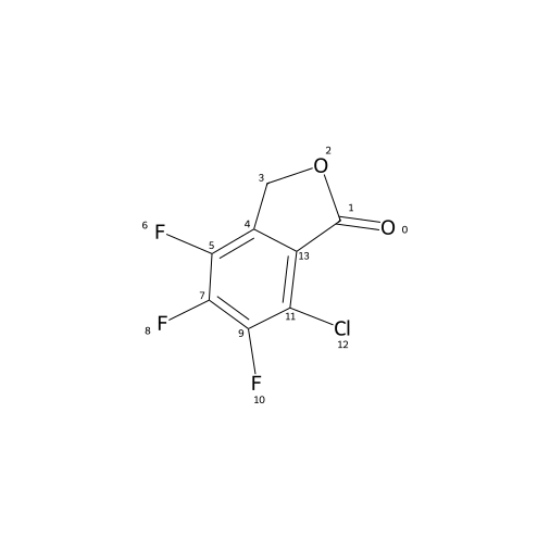 O=C1OCc2c(F)c(F)c(F)c(Cl)c21